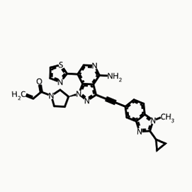 C=CC(=O)N1CC[C@H](n2nc(C#Cc3ccc4c(c3)nc(C3CC3)n4C)c3c(N)ncc(-c4nccs4)c32)C1